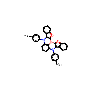 CC(C)(C)c1ccc(N2c3cccc4c3B(c3oc5ccccc5c32)c2oc3ccccc3c2N4c2ccc(C(C)(C)C)cc2)cc1